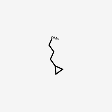 COCCCC1[CH]C1